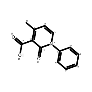 Cc1ccn(-c2ccccc2)c(=O)c1C(=O)O